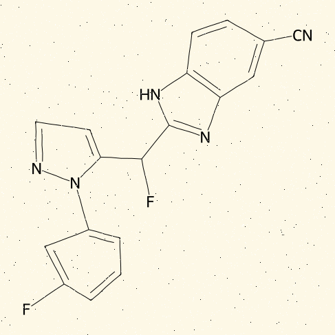 N#Cc1ccc2[nH]c(C(F)c3ccnn3-c3cccc(F)c3)nc2c1